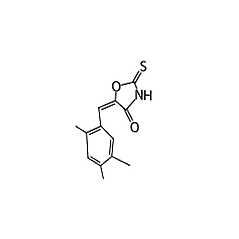 Cc1cc(C)c(C=C2OC(=S)NC2=O)cc1C